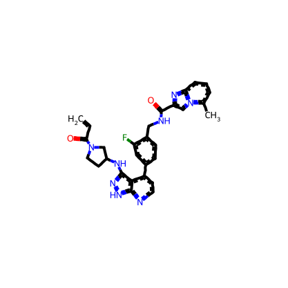 C=CC(=O)N1CCC(Nc2n[nH]c3nccc(-c4ccc(CNC(=O)c5cn6c(C)cccc6n5)c(F)c4)c23)C1